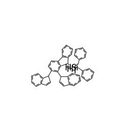 C1=CC(c2ccc3c(c2C2C=Cc4ccccc42)[CH]([Hf][SiH](c2ccccc2)c2ccccc2)c2ccccc2-3)c2ccccc21